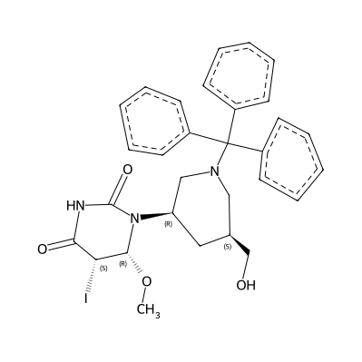 CO[C@@H]1[C@H](I)C(=O)NC(=O)N1[C@@H]1C[C@H](CO)CN(C(c2ccccc2)(c2ccccc2)c2ccccc2)C1